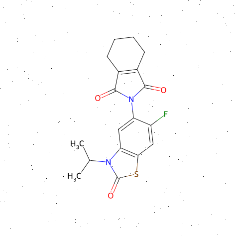 CC(C)n1c(=O)sc2cc(F)c(N3C(=O)C4=C(CCCC4)C3=O)cc21